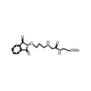 COCCNC(=O)CNCCCON1C(=O)c2ccccc2C1=O